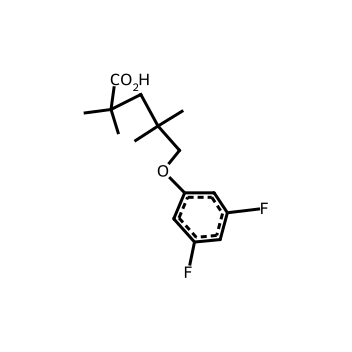 CC(C)(COc1cc(F)cc(F)c1)CC(C)(C)C(=O)O